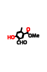 COC(=O)c1cc(C=O)c(O)cc1C